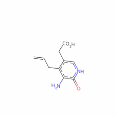 C=CCc1c(CC(=O)O)c[nH]c(=O)c1N